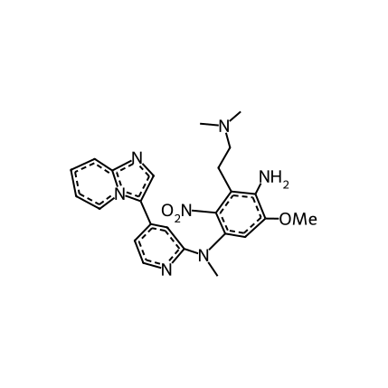 COc1cc(N(C)c2cc(-c3cnc4ccccn34)ccn2)c([N+](=O)[O-])c(CCN(C)C)c1N